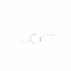 Cc1cc(Br)ccc1C1CC1